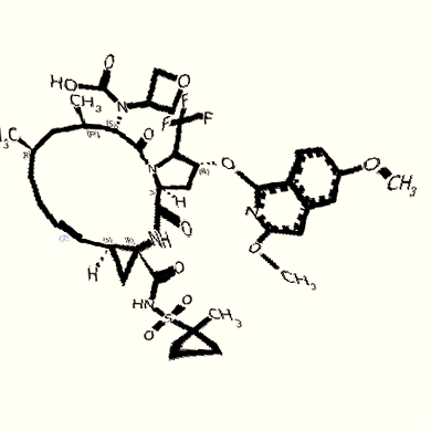 COc1ccc2c(O[C@@H]3C[C@H]4C(=O)N[C@]5(C(=O)NS(=O)(=O)C6(C)CC6)C[C@H]5/C=C\CC[C@@H](C)C[C@@H](C)[C@H](N(C(=O)O)C5COC5)C(=O)N4C3C(F)(F)F)nc(OC)cc2c1